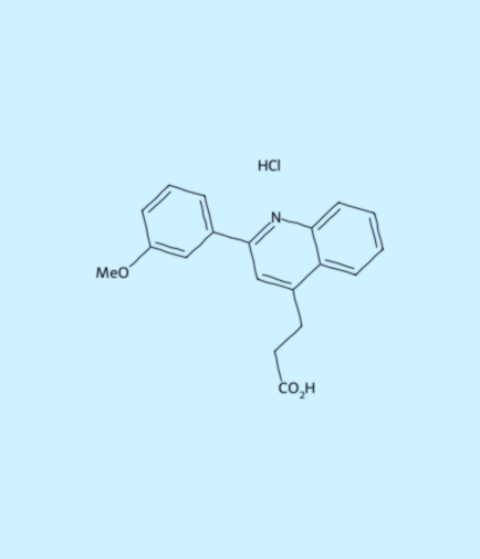 COc1cccc(-c2cc(CCC(=O)O)c3ccccc3n2)c1.Cl